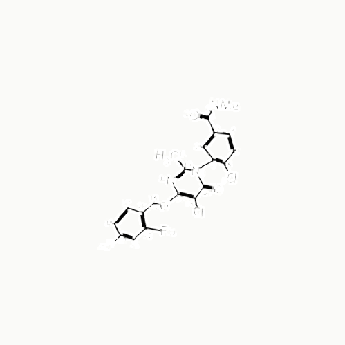 CNC(=O)c1ccc(Cl)c(-n2c(C)nc(OCc3ccc(F)cc3F)c(Cl)c2=O)c1